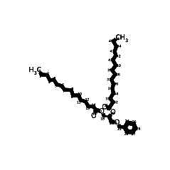 CCCCCCCCCCCCCCCC(=O)OC[C@H](COCc1ccccc1)OC(=O)CCCCCCCCCCCCCCC